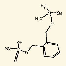 CC(C)(C)[Si](C)(C)OCc1ccccc1COP(=O)(O)O